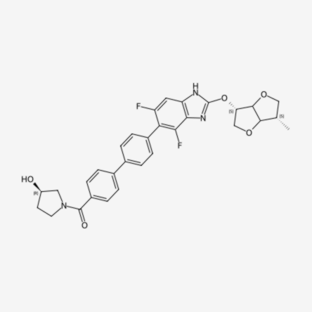 C[C@H]1COC2C1OC[C@@H]2Oc1nc2c(F)c(-c3ccc(-c4ccc(C(=O)N5CC[C@@H](O)C5)cc4)cc3)c(F)cc2[nH]1